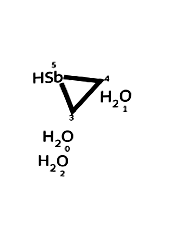 O.O.O.[CH2]1[CH2][SbH]1